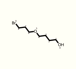 OCCCCOCCCBr